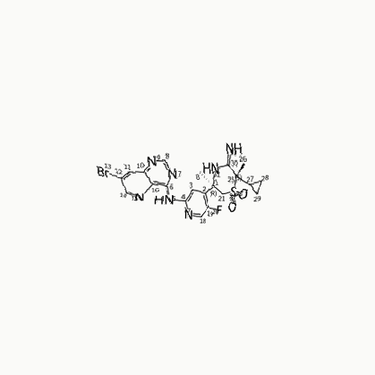 C[C@@]1(c2cc(Nc3ncnc4cc(Br)cnc34)ncc2F)CS(=O)(=O)[C@@](C)(C2CC2)C(=N)N1